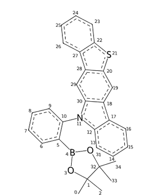 CC1(C)OB(c2ccccc2-n2c3ccccc3c3cc4sc5ccccc5c4cc32)OC1(C)C